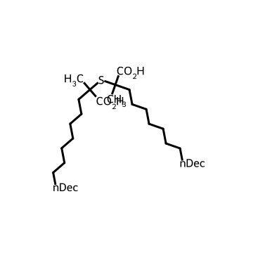 CCCCCCCCCCCCCCCCCC(C)(SC(C)(CCCCCCCCCCCCCCCCC)C(=O)O)C(=O)O